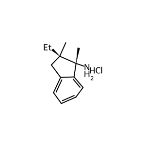 CC[C@]1(C)Cc2ccccc2[C@@]1(C)N.Cl